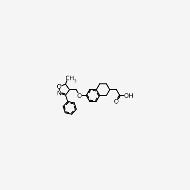 CC1ON=C(c2ccccc2)C1COc1ccc2c(c1)CCC(CC(=O)O)C2